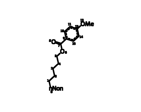 CCCCCCCCCCCCCCOC(=O)c1c[c]c(OC)cc1